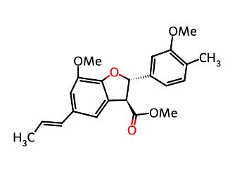 C/C=C/c1cc(OC)c2c(c1)[C@H](C(=O)OC)[C@@H](c1ccc(C)c(OC)c1)O2